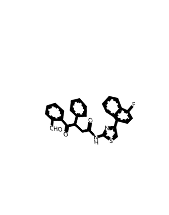 O=Cc1ccccc1C(=O)C(CC(=O)Nc1nc(-c2ccc(F)c3ccccc23)cs1)c1ccccc1